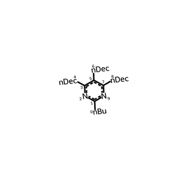 [CH2]CCCc1nc(CCCCCCCCCC)c(CCCCCCCCCC)c(CCCCCCCCCC)n1